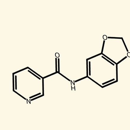 O=C(Nc1ccc2c(c1)OCO2)c1cccnc1